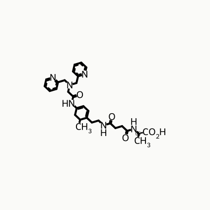 CC1CC(NC(=O)CN(Cc2ccccn2)Cc2ccccn2)=CC=C1CCNC(=O)CCC(=O)N[C@H](C)C(=O)O